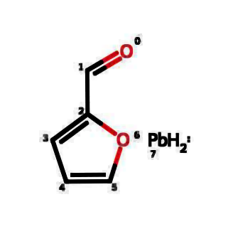 O=Cc1ccco1.[PbH2]